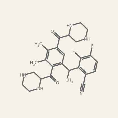 Cc1c(C(=O)C2CNCCN2)cc(C(C)c2c(C#N)ccc(F)c2F)c(C(=O)C2CNCCN2)c1C